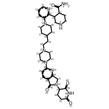 NC(=O)C1CCNCC1c1ncccc1N1CCC(CCN2CCN(c3ccc4c(n3)CN(C3CCC(=O)NC3=O)C4=O)CC2)CC1